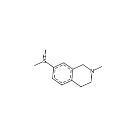 CN1CCc2ccc([SH](C)C)cc2C1